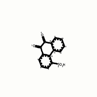 O=C1C(=O)c2cccc(S(=O)(=O)O)c2-c2ccccc21